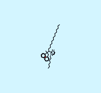 CCCCCCCCCCCCCCC(c1nccn1CCCCCCC)C(C)(Cc1ccccc1)c1ccccc1